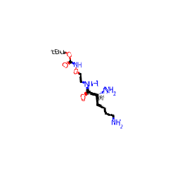 CC(C)(C)OC(=O)NOCCNC(=O)[C@H](N)CCCCN